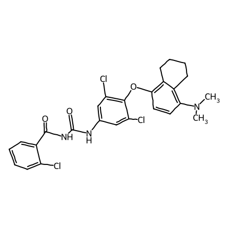 CN(C)c1ccc(Oc2c(Cl)cc(NC(=O)NC(=O)c3ccccc3Cl)cc2Cl)c2c1CCCC2